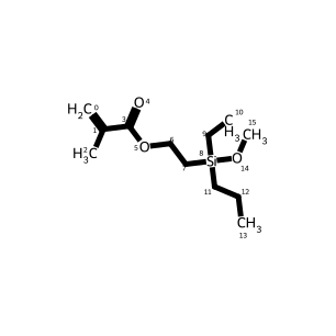 C=C(C)C(=O)OCC[Si](CC)(CCC)OC